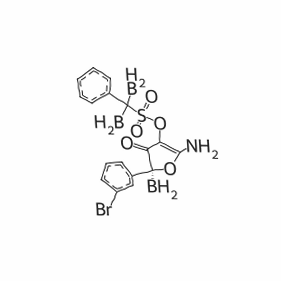 BC(B)(c1ccccc1)S(=O)(=O)OC1=C(N)O[C@@](B)(c2cccc(Br)c2)C1=O